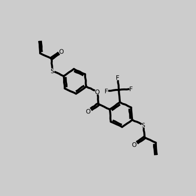 C=CC(=O)Sc1ccc(OC(=O)c2ccc(SC(=O)C=C)cc2C(F)(F)F)cc1